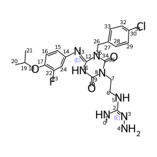 CN/C(=N\N)NCCn1c(=O)[nH]/c(=N\c2ccc(OC(C)C)c(F)c2)n(Cc2ccc(Cl)cc2)c1=O